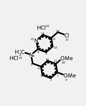 COc1ccc(CN(C)c2ccc(CCl)cn2)cc1OC.Cl.Cl